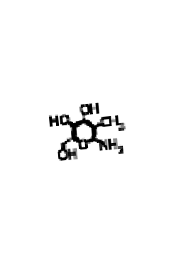 C[C@H]1[C@@H](N)O[C@H](CO)C(O)[C@@H]1O